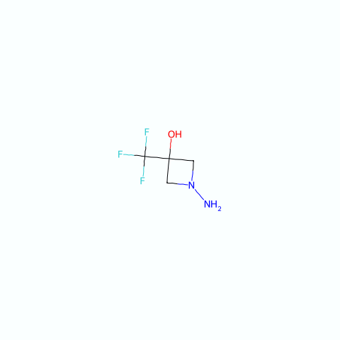 NN1CC(O)(C(F)(F)F)C1